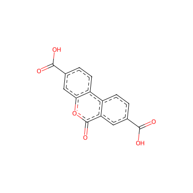 O=C(O)c1ccc2c(c1)oc(=O)c1cc(C(=O)O)ccc12